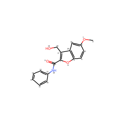 COc1ccc2oc(C(=O)Nc3ccccc3)c(CO)c2c1